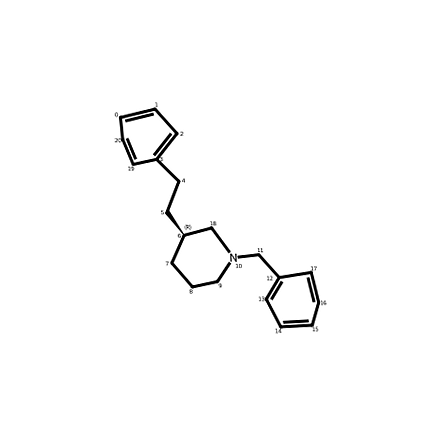 c1ccc(CC[C@@H]2CCCN(Cc3ccccc3)C2)cc1